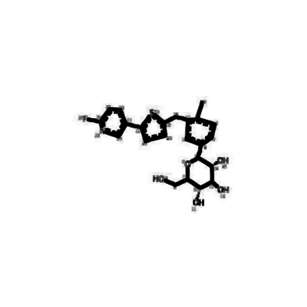 Cc1ccc(C2OC(CO)[C@@H](O)C(O)[C@H]2O)cc1Cc1ccc(-c2ccc(F)nc2)s1